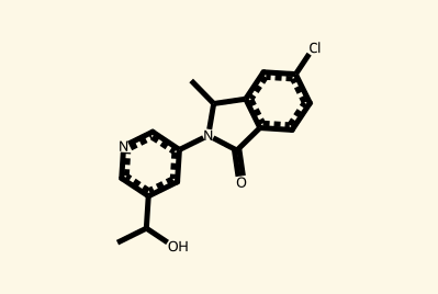 CC(O)c1cncc(N2C(=O)c3ccc(Cl)cc3C2C)c1